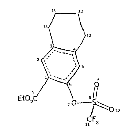 CCOC(=O)c1cc2c(cc1OS(=O)(=O)C(F)(F)F)CCCC2